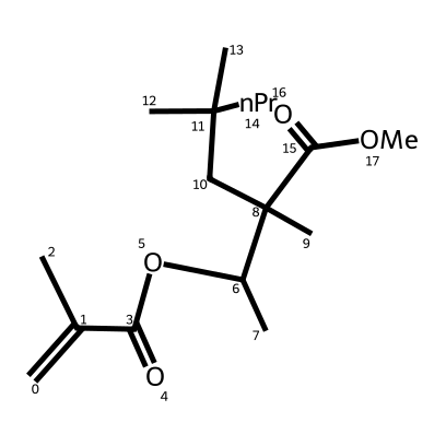 C=C(C)C(=O)OC(C)C(C)(CC(C)(C)CCC)C(=O)OC